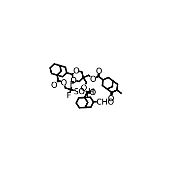 CC1CC2CC(C(=O)OCC3(COC(=O)C45CCCC(CC(C=O)C4)C5)COC(C4CC5CCCC(C(=O)OCC(F)(F)S(=O)(=O)O)(C5)C4)OC3)CC(C2)C1=O